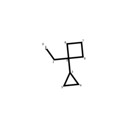 ICC1(C2CC2)CCC1